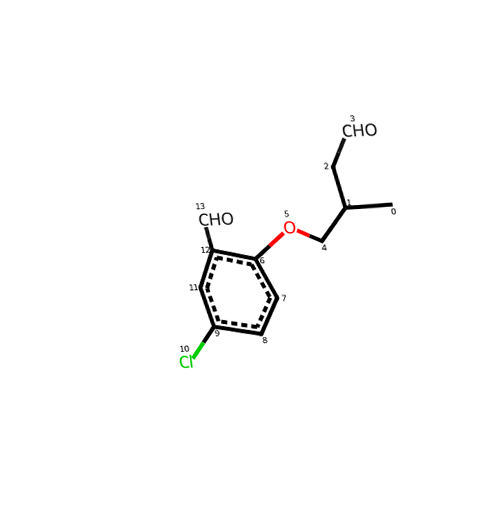 CC(CC=O)COc1ccc(Cl)cc1C=O